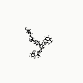 Cc1cccc2cccc(N3CCc4c(nc(OCC(=S)[C@@H]5CCCN5C)nc4N4CCN(C(=O)/C=C/CN5CC(F)C5)CC4)C3)c12